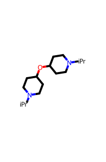 CC(C)N1CCC(OC2CCN(C(C)C)CC2)CC1